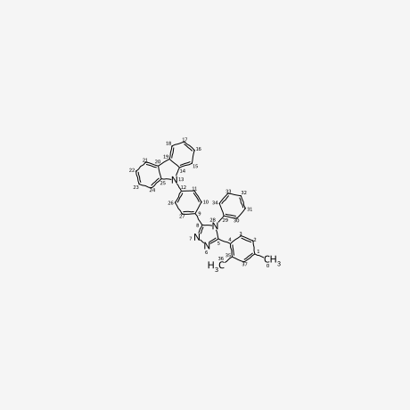 Cc1ccc(-c2nnc(-c3ccc(-n4c5ccccc5c5ccccc54)cc3)n2-c2ccccc2)c(C)c1